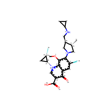 COc1c(N2C[C@@H](CNC3CC3)[C@H](C)C2)c(F)cc2c(=O)c(C(=O)O)cn([C@@H]3C[C@@H]3F)c12